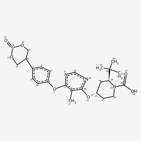 Cc1c(Oc2ccc(C3COS(=O)OC3)cc2)ncnc1O[C@H]1CCN(C(=O)O)[C@H](C(C)(C)C)C1